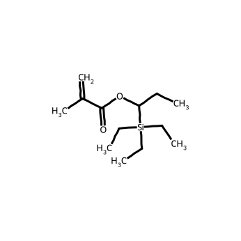 C=C(C)C(=O)OC(CC)[Si](CC)(CC)CC